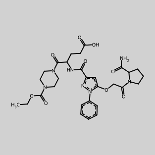 CCOC(=O)N1CCN(C(=O)C(CCC(=O)O)NC(=O)c2cc(OCC(=O)N3CCCC3C(N)=O)n(-c3ccccc3)n2)CC1